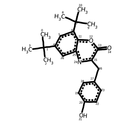 CC(C)(C)c1cc(C(C)(C)C)c2oc(=O)c(Cc3ccc(O)cc3)nc2c1